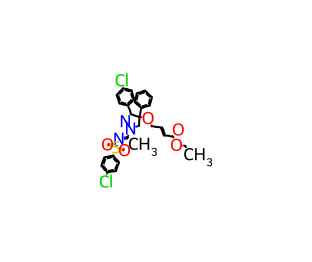 CCOC(=O)/C=C/COC1(c2ccccc2)CN(/C(C)=N/S(=O)(=O)c2ccc(Cl)cc2)N=C1c1ccc(Cl)cc1